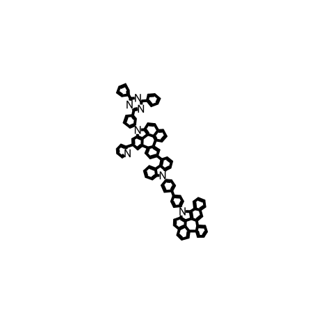 c1ccc(-c2nc(-c3ccccc3)nc(-c3cccc(-n4c5cc(-c6ccccn6)cc6c5c5c7c(cccc7ccc54)-c4cc(-c5cccc7c5c5ccccc5n7-c5ccc(-c7ccc(-n8c9ccc%10cccc%11c%10c9c9c(cc%10ccccc%10c98)-c8ccccc8-%11)cc7)cc5)ccc4-6)c3)n2)cc1